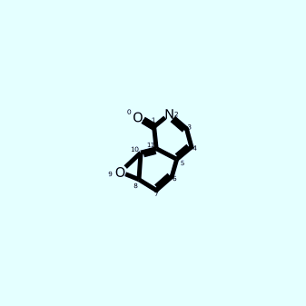 O=C1N=CC=C2C=CC3OC3=C12